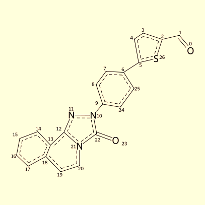 O=Cc1ccc(-c2ccc(-n3nc4c5ccccc5ccn4c3=O)cc2)s1